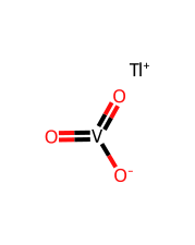 [O]=[V](=[O])[O-].[Tl+]